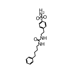 NS(=O)(=O)c1ccc(CCNC(=O)NCCCCc2ccccc2)cc1